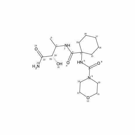 CC(NC(=O)C1(NC(=O)N2CCOCC2)CCCCC1)[C@H](O)C(N)=O